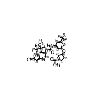 C[C@@]1(C(F)(F)F)CN(C(=O)Nc2cc(OC3CCN(C(=O)O)C3)nc(C(F)(F)F)c2)c2cnc3cc(Cl)nn3c21